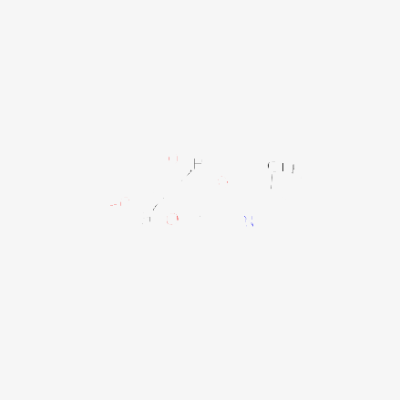 Cc1cccnc1O[C@@H]1CO[C@H]2[C@@H]1OC[C@H]2O